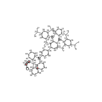 CC(C)c1cc(C(C)C)c(B2c3ccccc3B(c3c(C(C)C)cc(C(C)C)cc3C(C)C)c3cc(-c4ccc(N5c6ccccc6C6(c7ccccc7Oc7ccccc76)c6ccccc65)cc4)ccc32)c(C(C)C)c1